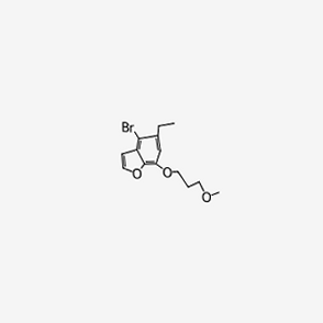 CCc1cc(OCCCOC)c2occc2c1Br